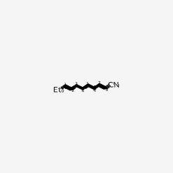 CC/C=C/CCCC/C=C/C#N